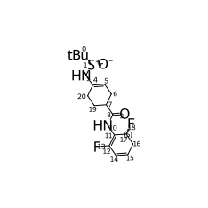 CC(C)(C)[S+]([O-])NC1=CCC(C(=O)NC2=C(F)C=CC[C@@H]2F)CC1